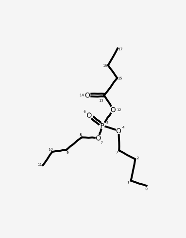 CCCCOP(=O)(OCCCC)OC(=O)CCC